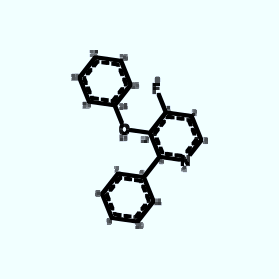 Fc1ccnc(-c2ccccc2)c1Oc1ccccc1